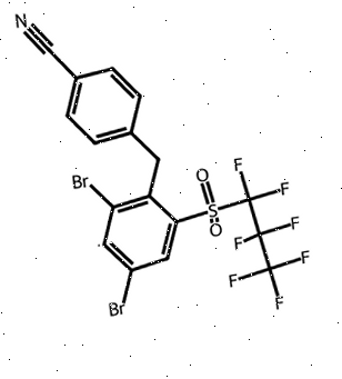 N#Cc1ccc(Cc2c(Br)[c]c(Br)cc2S(=O)(=O)C(F)(F)C(F)(F)C(F)(F)F)cc1